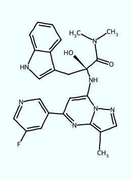 Cc1cnn2c(N[C@](O)(Cc3c[nH]c4ccccc34)C(=O)N(C)C)cc(-c3cncc(F)c3)nc12